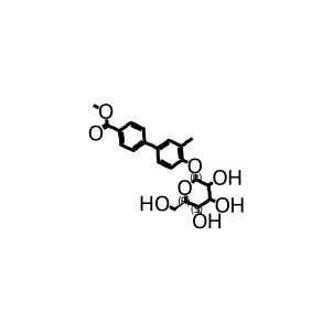 COC(=O)c1ccc(-c2ccc(O[C@H]3O[C@H](CO)[C@@H](O)C(O)C3O)c(C)c2)cc1